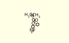 CN(C)CCOC(=O)C1Oc2ccc(C(F)(F)F)cc2-c2ccccc21